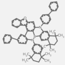 CC1(C)CCC(C)(C)c2cc(N3B4c5cc6c(cc5N(c5ccc(-c7ccccc7)cc5)c5cc7oc8ccccc8c7c(c54)-c4cc(-c5ccccc5)ccc43)C(C)(C)CCC6(C)C)ccc21